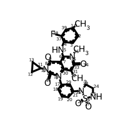 Cc1ccc(Nc2c3c(=O)n(C4CC4)c(=O)n(-c4cccc(N5CCNS5(=O)=O)c4)c3c(C)c(=O)n2C)c(F)c1